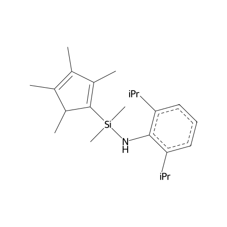 CC1=C(C)C(C)C([Si](C)(C)Nc2c(C(C)C)cccc2C(C)C)=C1C